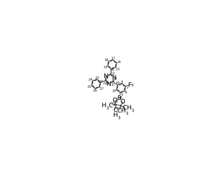 CC1(C)OB(c2cc(F)cc(-c3nc(-c4ccccc4)nc(-c4ccccc4)n3)c2)OC1(C)C